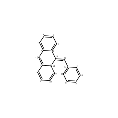 C1=CC2=Nc3ccccc3C(=Cc3ccccc3)N2C=C1